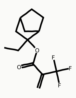 C=C(C(=O)OC1(CC)CC2CCC1C2)C(F)(F)F